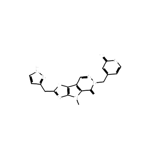 Cn1c2nc(Cc3cc[nH]n3)sc2c2cnn(Cc3cc[nH]c(=O)c3)c(=O)c21